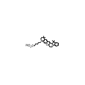 CC1(C)CCN(CCCCCC(=O)O)c2cc3c(cc21)C=C1C2=[N+](CCC1O3)c1ccccc1C2(C)C